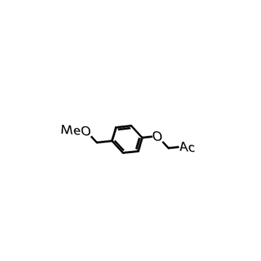 COCc1ccc(OCC(C)=O)cc1